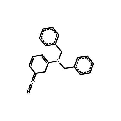 [N-]=[N+]=C1C=CC=C(N(Cc2ccccc2)Cc2ccccc2)C1